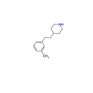 Cc1cccc(CCC2CCNCC2)c1